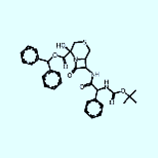 CC(C)(C)OC(=O)NC(C(=O)NC1C(=O)N2C1CSCC2(O)C(=O)OC(c1ccccc1)c1ccccc1)c1ccccc1